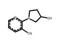 N#Cc1cccnc1N1CCC(O)C1